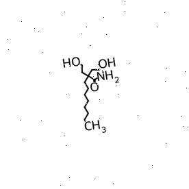 CCCCCCCCC(CCO)(CCO)C(N)=O